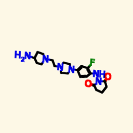 NC1CCN(CCN2CCN(c3ccc(NN4C(=O)CCCC4=O)c(F)c3)CC2)CC1